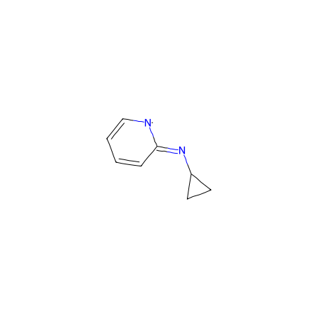 C1=C[N]C(=NC2CC2)C=C1